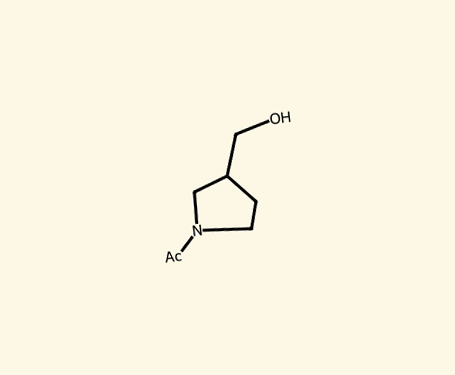 CC(=O)N1CCC(CO)C1